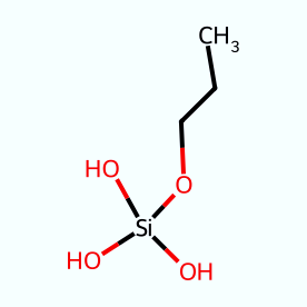 CCCO[Si](O)(O)O